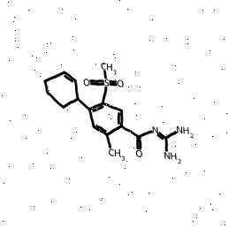 Cc1cc(C2C=CCCC2)c(S(C)(=O)=O)cc1C(=O)N=C(N)N